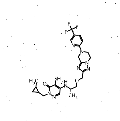 CC1CC1Cn1ncc(N[C@@H](C)COCc2nc3n(n2)CCN(c2ccc(C(F)(F)F)cn2)C3)c(S)c1=O